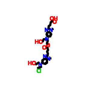 Cn1c(CCCC(=O)O)nc2cc(N(CCO)CCOC(=O)CCCc3nc4cc(N(CCO)CCCl)ccc4n3C)ccc21